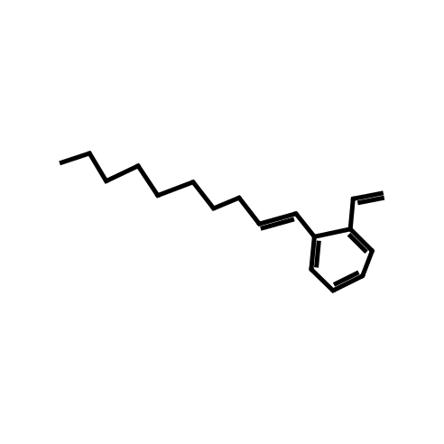 C=Cc1ccccc1/C=C/CCCCCCCC